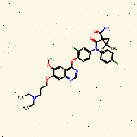 CCN(CC)CCCOc1cc2ncnc(Oc3ccc(N(C(=O)C4(C(N)=O)CC4(C)C)c4ccc(F)cc4)cc3F)c2cc1OC